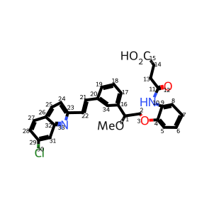 COC(COc1ccccc1NC(=O)CCC(=O)O)c1cccc(/C=C/c2ccc3ccc(Cl)cc3n2)c1